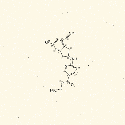 CCOC(=O)c1cnc(NC2Cc3cc(Cl)cc(C#N)c3C2)nc1